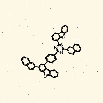 c1ccc2cc(-c3cc(-c4ccc(-c5nc(-c6ccc7ccccc7c6)nc(-c6cccc7c6oc6ccccc67)n5)cc4)c4c(c3)oc3ccccc34)ccc2c1